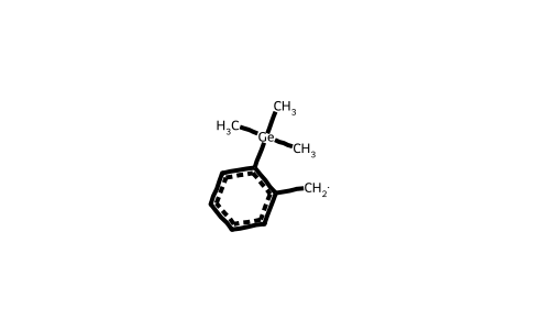 [CH2]c1cccc[c]1[Ge]([CH3])([CH3])[CH3]